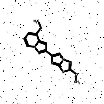 COc1nn2cc(-c3cc4c(OC)cccn4n3)nc2s1